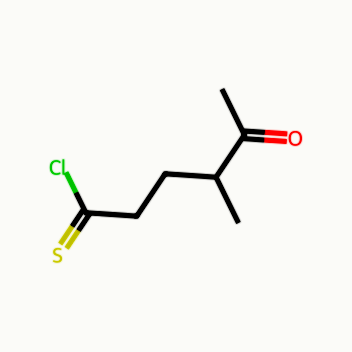 CC(=O)C(C)CCC(=S)Cl